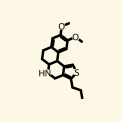 CCCc1scc2c1CNC1CCc3cc(OC)c(OC)cc3C21